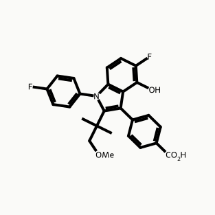 COCC(C)(C)c1c(-c2ccc(C(=O)O)cc2)c2c(O)c(F)ccc2n1-c1ccc(F)cc1